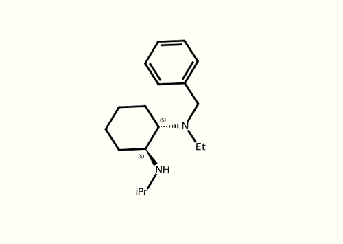 CCN(Cc1ccccc1)[C@H]1CCCC[C@@H]1NC(C)C